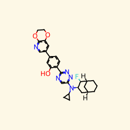 Oc1cc(-c2cnc3c(c2)OCCO3)ccc1-c1ncc(N(C2CC2)[C@@H]2C[C@H]3CCC[C@H](C3)[C@@H]2F)nn1